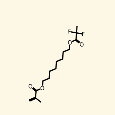 C=C(C)C(=O)OCCCCCCCCOC(=O)C(C)(F)F